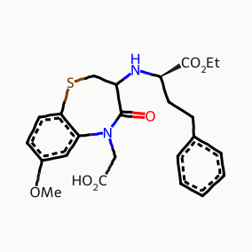 CCOC(=O)[C@@H](CCc1ccccc1)NC1CSc2ccc(OC)cc2N(CC(=O)O)C1=O